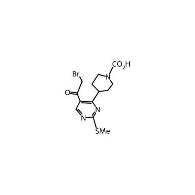 CSc1ncc(C(=O)CBr)c(C2CCN(C(=O)O)CC2)n1